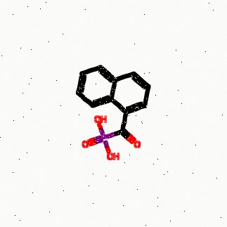 O=C(c1cccc2ccccc12)P(=O)(O)O